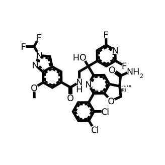 COc1cc(C(=O)NCC(O)(c2cc(F)nc(F)c2)c2cc3c(c(-c4cccc(Cl)c4Cl)n2)OC[C@]3(C)C(N)=O)cc2cn(C(F)F)nc12